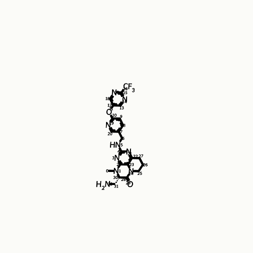 CN1c2nc(NCc3ccc(Oc4cnc(C(F)(F)F)nc4)nc3)nc3c2N(CCC3)C(=O)[C@@H]1CN